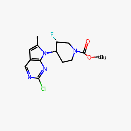 Cc1cc2cnc(Cl)nc2n1[C@@H]1CCN(C(=O)OC(C)(C)C)C[C@H]1F